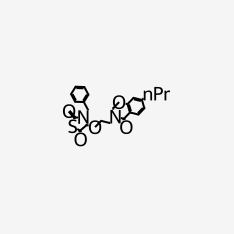 CCCc1ccc2c(c1)OCN(CCOC1C(=O)SC(=O)N1Cc1ccccc1)C2=O